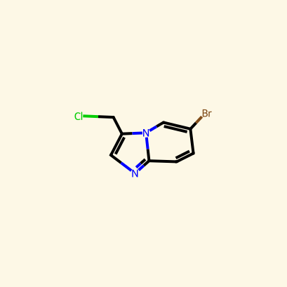 ClCc1cnc2ccc(Br)cn12